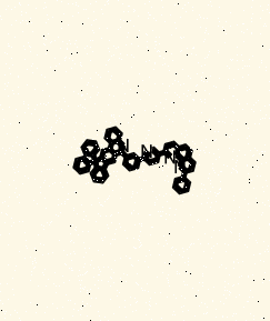 C1=CC2=NC(c3cccc(-c4ccc(-c5ccc6ccc7ccc(-c8ccccc8)nc7c6n5)cn4)c3)=C3C=C4c5ccccc5C(c5ccccc5)(c5ccccc5)C4CC3C2C=C1